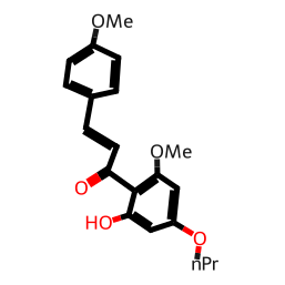 CCCOc1cc(O)c(C(=O)C=Cc2ccc(OC)cc2)c(OC)c1